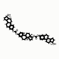 C[C@]12CC[C@@H]3c4ccc(OC(=O)Oc5ccc6c(c5)CCC5C6CC[C@@]6(C)C5CC[C@@H]6O)cc4CC[C@H]3[C@@H]1CC[C@@H]2OC(=O)Oc1ccc2c(c1)CCC1C2CC[C@@]2(C)C1CC[C@@H]2O